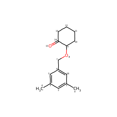 Cc1cc(C)cc(COC2CCCCC2=O)c1